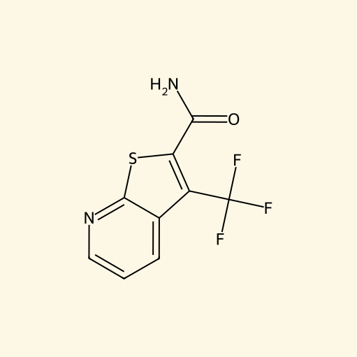 NC(=O)c1sc2ncccc2c1C(F)(F)F